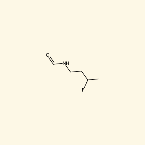 CC(F)CCNC=O